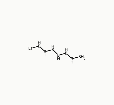 BBBBBBBCC